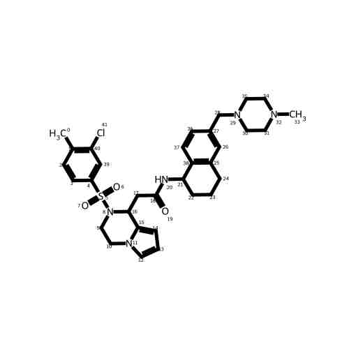 Cc1ccc(S(=O)(=O)N2CCn3cccc3C2CC(=O)NC2CCCc3cc(CN4CCN(C)CC4)ccc32)cc1Cl